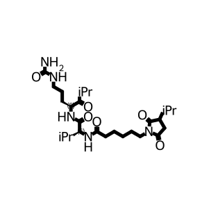 CC(C)C(=O)[C@H](CCCNC(N)=O)NC(=O)[C@@H](NC(=O)CCCCCN1C(=O)CC(C(C)C)C1=O)C(C)C